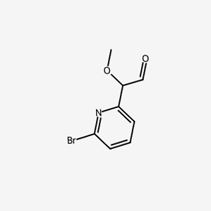 COC(C=O)c1cccc(Br)n1